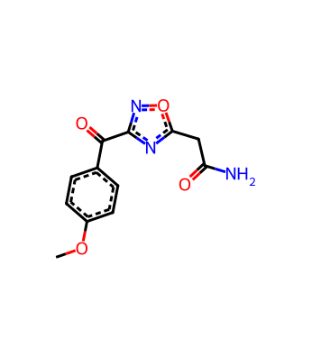 COc1ccc(C(=O)c2noc(CC(N)=O)n2)cc1